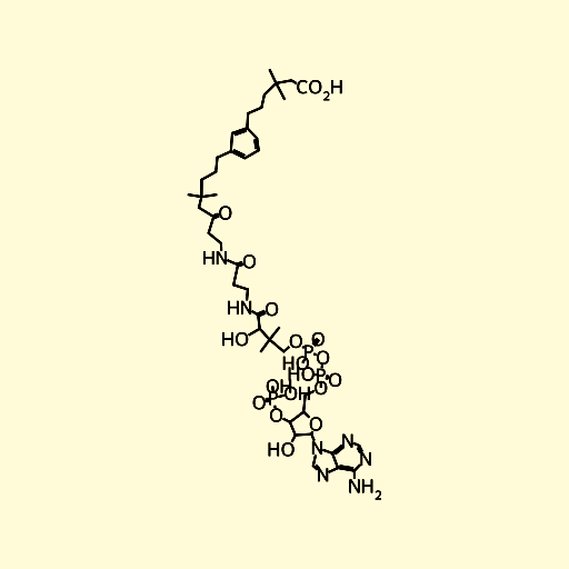 CC(C)(CCCc1cccc(CCCC(C)(C)CC(=O)CCNC(=O)CCNC(=O)C(O)C(C)(C)COP(=O)(O)OP(=O)(O)OCC2OC(n3cnc4c(N)ncnc43)C(O)C2OP(=O)(O)O)c1)CC(=O)O